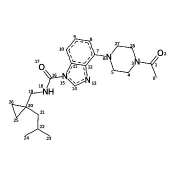 CC(=O)N1CCN(c2cccc3c2ncn3C(=O)NCC2(CC(C)C)CC2)CC1